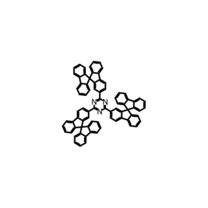 c1ccc2c(c1)-c1ccccc1C21c2ccccc2-c2ccc(-c3nc(-c4ccc5c(c4)C4(c6ccccc6-c6ccccc64)c4ccccc4-5)nc(-c4ccc5c(c4)C4(c6ccccc6-c6ccccc64)c4ccccc4-5)n3)cc21